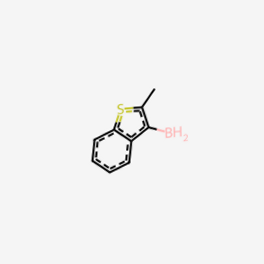 Bc1c(C)sc2ccccc12